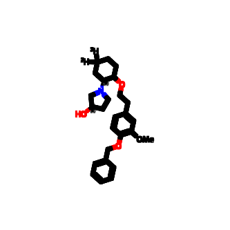 [2H]C1([2H])CCC(OCCc2ccc(OCc3ccccc3)c(OC)c2)[C@H](N2CC[C@@H](O)C2)C1